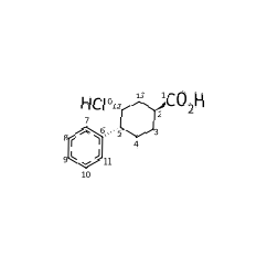 Cl.O=C(O)[C@H]1CC[C@H](c2ccccc2)CC1